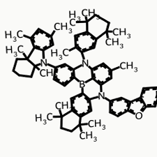 Cc1cc2c3c(c1)N(c1cc4c(cc1C)C(C)(C)CCC4(C)C)c1cc(N4c5cc(C)cc(C)c5C5(C)CCCCC45C)ccc1B3c1cc3c(cc1N2c1ccc2oc4ccccc4c2c1)C(C)(C)CCC3(C)C